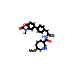 COC1CCCC(C(=O)NC(C#N)Cc2ccc(-c3ccc4oc(=O)n(C)c4c3)cc2)CNC1